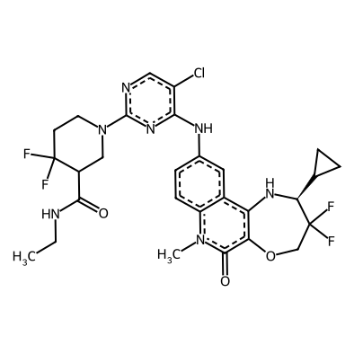 CCNC(=O)C1CN(c2ncc(Cl)c(Nc3ccc4c(c3)c3c(c(=O)n4C)OCC(F)(F)[C@H](C4CC4)N3)n2)CCC1(F)F